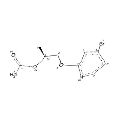 C[C@@H](COc1cc(Br)ccn1)OC(N)=O